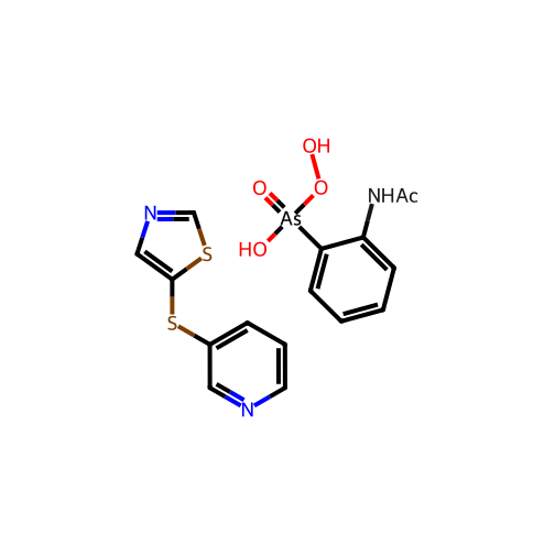 CC(=O)Nc1ccccc1[As](=O)(O)OO.c1cncc(Sc2cncs2)c1